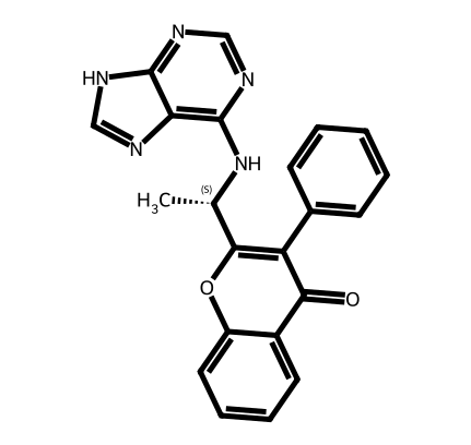 C[C@H](Nc1ncnc2[nH]cnc12)c1oc2ccccc2c(=O)c1-c1ccccc1